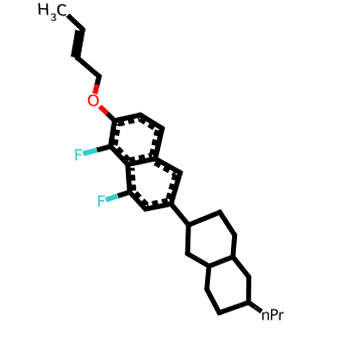 CC=CCOc1ccc2cc(C3CCC4CC(CCC)CCC4C3)cc(F)c2c1F